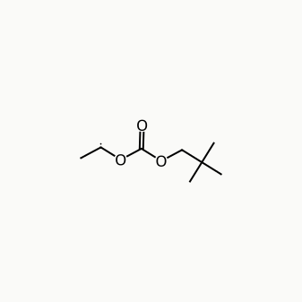 C[CH]OC(=O)OCC(C)(C)C